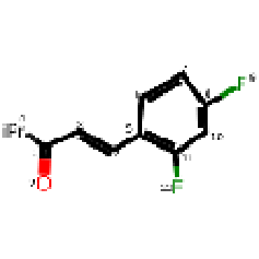 CC(C)C(=O)/C=C/c1ccc(F)cc1F